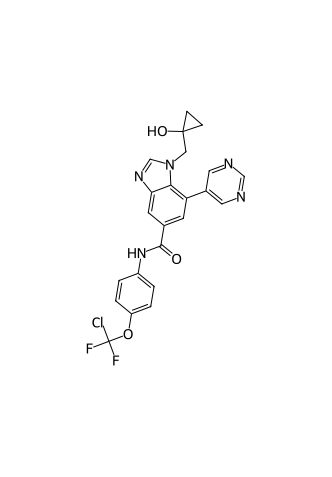 O=C(Nc1ccc(OC(F)(F)Cl)cc1)c1cc(-c2cncnc2)c2c(c1)ncn2CC1(O)CC1